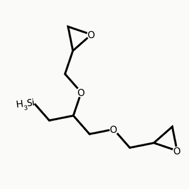 [SiH3]CC(COCC1CO1)OCC1CO1